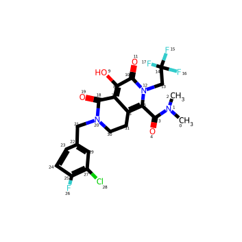 CN(C)C(=O)c1c2c(c(O)c(=O)n1CC(F)(F)F)C(=O)N(Cc1ccc(F)c(Cl)c1)CC2